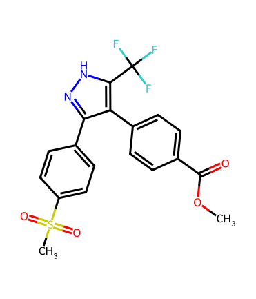 COC(=O)c1ccc(-c2c(-c3ccc(S(C)(=O)=O)cc3)n[nH]c2C(F)(F)F)cc1